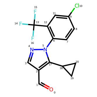 O=[C]c1cnn(-c2ccc(Cl)cc2C(F)(F)F)c1C1CC1